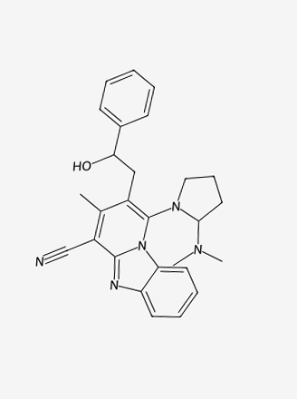 Cc1c(CC(O)c2ccccc2)c(N2CCCC2N(C)C)n2c(nc3ccccc32)c1C#N